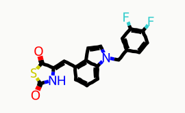 O=C1NC(=Cc2cccc3c2ccn3Cc2ccc(F)c(F)c2)C(=O)S1